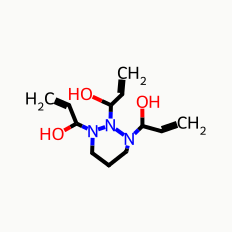 C=CC(O)N1CCCN(C(O)C=C)N1C(O)C=C